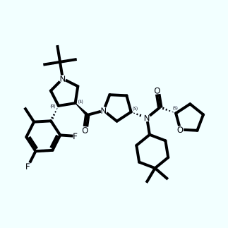 CC1C=C(F)C=C(F)C1[C@@H]1CN(C(C)(C)C)C[C@H]1C(=O)N1CC[C@H](N(C(=O)[C@@H]2CCCO2)C2CCC(C)(C)CC2)C1